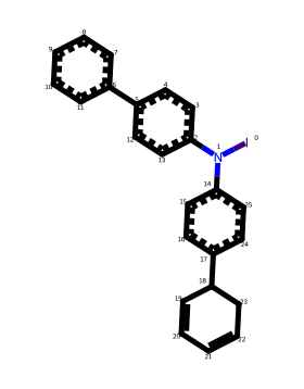 IN(c1ccc(-c2ccccc2)cc1)c1ccc(C2C=CC=CC2)cc1